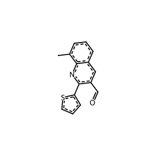 Cc1cccc2cc(C=O)c(-c3cccs3)nc12